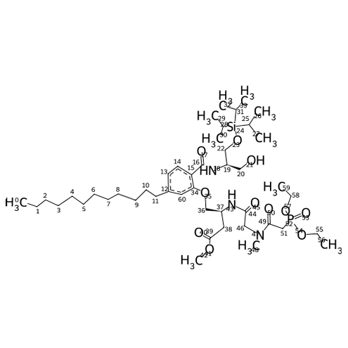 CCCCCCCCCCCCc1ccc(C(=O)N[C@H](CO)CO[Si](C(C)C)(C(C)C)C(C)C)c(OC[C@H](CC(=O)OC)NC(=O)CN(C)C(=O)CP(=O)(OCC)OCC)c1